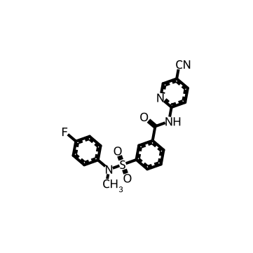 CN(c1ccc(F)cc1)S(=O)(=O)c1cccc(C(=O)Nc2ccc(C#N)cn2)c1